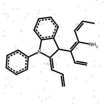 C=C/C=C1\C(/C(C=C)=C(N)\C=C/C)c2ccccc2N1c1ccccc1